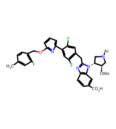 CO[C@@H]1CN(C(C)=O)C[C@H]1n1c(Cc2cc(F)c(-c3cccc(OCc4ccc(C)cc4F)n3)cc2F)nc2ccc(C(=O)O)cc21